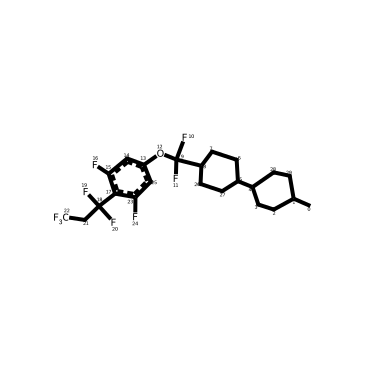 CC1CCC(C2CCC(C(F)(F)Oc3cc(F)c(C(F)(F)CC(F)(F)F)c(F)c3)CC2)CC1